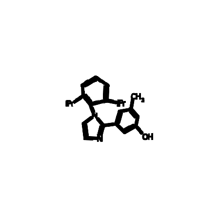 Cc1cc(O)cc(-c2nccn2-c2c(C(C)C)cccc2C(C)C)c1